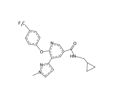 Cn1ccc(-c2cc(C(=O)NCC3CC3)cnc2Oc2ccc(C(F)(F)F)cc2)n1